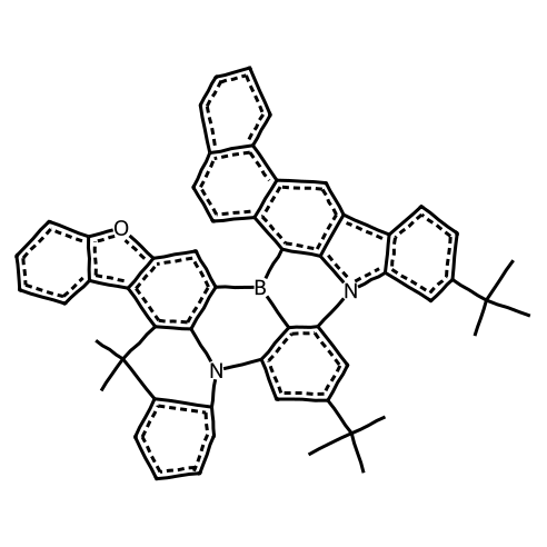 CC(C)(C)c1cc2c3c(c1)-n1c4cc(C(C)(C)C)ccc4c4cc5c(ccc6ccccc65)c(c41)B3c1cc3oc4ccccc4c3c3c1N2c1ccccc1C3(C)C